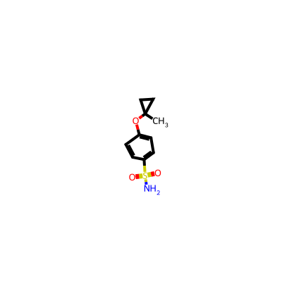 CC1(Oc2ccc(S(N)(=O)=O)cc2)CC1